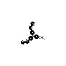 Cc1ccc(N(c2ccc(-c3ccc(-c4cccs4)s3)cc2)c2ccc(-c3ccc(-c4cccs4)s3)cc2)cc1